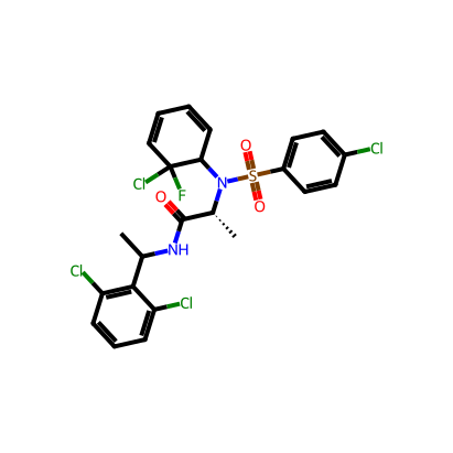 CC(NC(=O)[C@@H](C)N(C1C=CC=CC1(F)Cl)S(=O)(=O)c1ccc(Cl)cc1)c1c(Cl)cccc1Cl